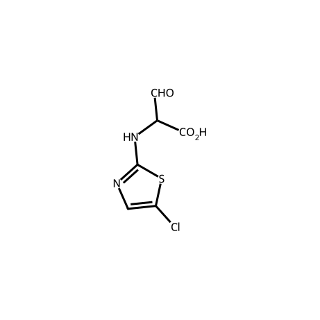 O=CC(Nc1ncc(Cl)s1)C(=O)O